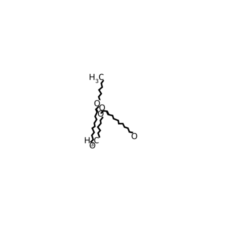 CCCCCCCCOC(C=CCCCCCCCCC=O)OC(C=CCCCCCCCCC=O)OCCCCCCCC